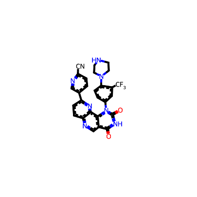 N#Cc1ccc(-c2ccc3ncc4c(=O)[nH]c(=O)n(-c5ccc(N6CCNCC6)c(C(F)(F)F)c5)c4c3n2)cn1